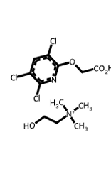 C[N+](C)(C)CCO.O=C(O)COc1nc(Cl)c(Cl)cc1Cl